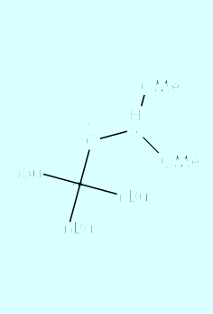 CCCCC(CCCC)(CCCC)O[SiH](OC)OC